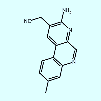 Cc1ccc2c(c1)ncc1nc(N)c(CC#N)cc12